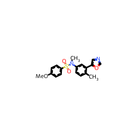 COc1ccc(S(=O)(=O)N(C)c2ccc(C)c(-c3cnco3)c2)cc1